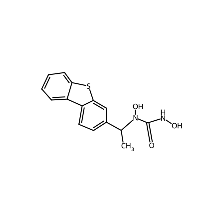 CC(c1ccc2c(c1)sc1ccccc12)N(O)C(=O)NO